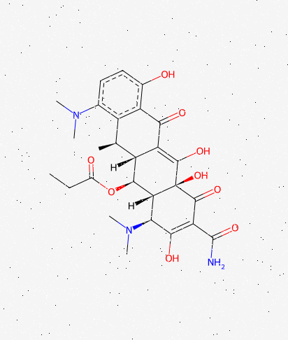 CCC(=O)O[C@H]1[C@H]2C(=C(O)[C@]3(O)C(=O)C(C(N)=O)=C(O)[C@@H](N(C)C)[C@H]13)C(=O)c1c(O)ccc(N(C)C)c1[C@@H]2C